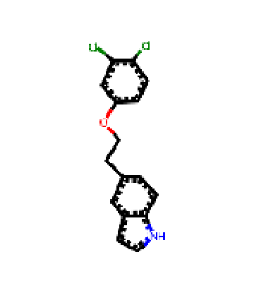 Clc1ccc(OCCc2ccc3[nH]ccc3c2)cc1Cl